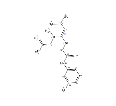 C=C(CCC)CB(C)/C(=C\C(=C)C(C)(C)C)NCC(=S)Nc1cccc(C)c1